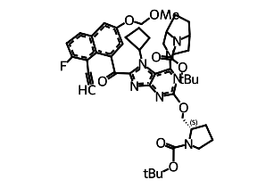 C#Cc1c(F)ccc2cc(OCOC)cc(C(=O)c3nc4nc(OC[C@@H]5CCCN5C(=O)OC(C)(C)C)nc(N5CC6CCC(C5)N6C(=O)OC(C)(C)C)c4n3C3CCC3)c12